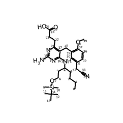 CCCCC(CCO[Si](C)(C)C(C)(C)C)Nc1nc(N)nc(CCC(=O)O)c1Cc1cc(CC#N)ccc1OC